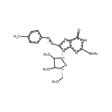 CC(=O)Nc1nc2c(nc(/N=N/c3ccc(C)cc3)n2[C@@H]2O[C@H](COC(C)=O)C(OC(C)=O)C2OC(C)=O)c(=O)[nH]1